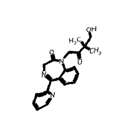 CC(C)(CO)C(=O)CN1C(=O)CN=C(c2ccccn2)c2ccccc21